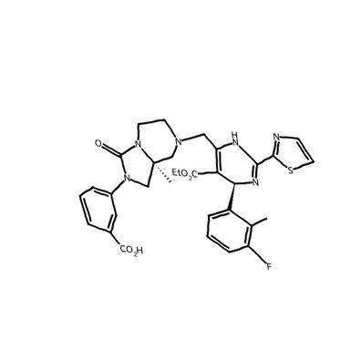 CCOC(=O)C1=C(CN2CCN3C(=O)N(c4cccc(C(=O)O)c4)C[C@]3(C)C2)NC(c2nccs2)=N[C@H]1c1cccc(F)c1C